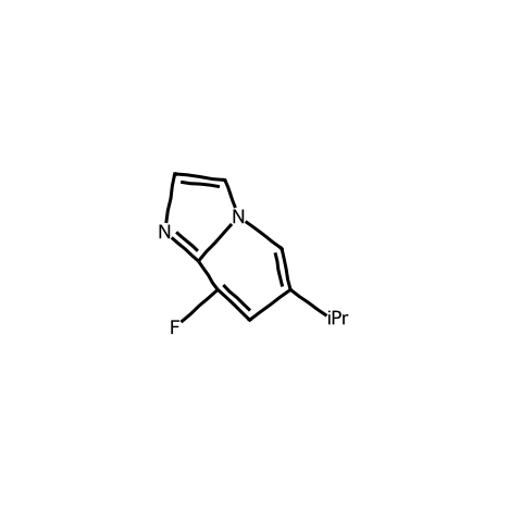 CC(C)c1cc(F)c2nccn2c1